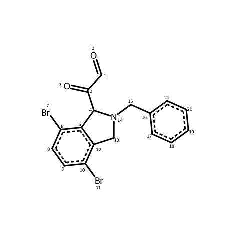 O=CC(=O)C1c2c(Br)ccc(Br)c2CN1Cc1ccccc1